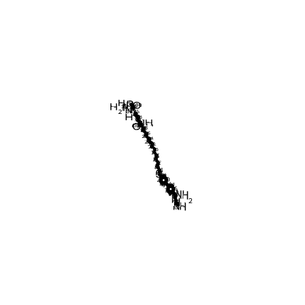 N=N/N=C(\N)c1ccc(-c2ccc(OCCCCCCCCCCCCCCCC(=O)NCCCC[C@H](NP)C(=O)O)cc2)cc1